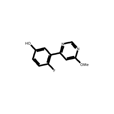 COc1cc(-c2cc(O)ccc2F)ncn1